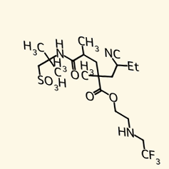 CCC(C#N)CC(C)(CC(C)C(=O)NC(C)(C)CS(=O)(=O)O)C(=O)OCCNCC(F)(F)F